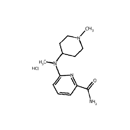 CN1CCC(N(C)c2cccc(C(N)=O)n2)CC1.Cl